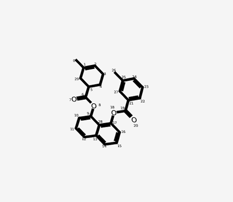 CC1=CCCC(C(=O)Oc2cccc3cccc(OC(=O)c4cccc(C)c4)c23)C1